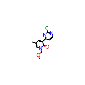 COCn1cc(C)cc(-c2ccnc(Cl)n2)c1=O